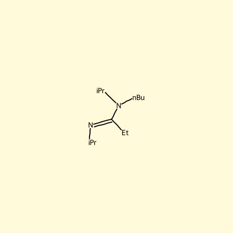 CCCCN(/C(CC)=N/C(C)C)C(C)C